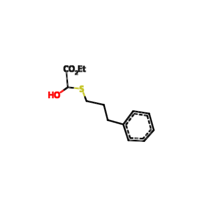 CCOC(=O)C(O)SCCCc1ccccc1